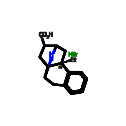 Br.CC[C@]12CC3NC(Cc4ccccc41)C2CC3C(=O)O